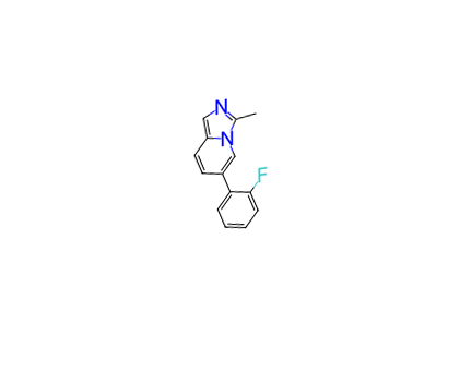 Cc1ncc2ccc(-c3ccccc3F)cn12